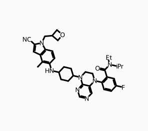 CCN(C(=O)c1cc(F)ccc1N1CCN(C2CCC(Nc3ccc4c(cc(C#N)n4CC4COC4)c3C)CC2)c2ncncc21)C(C)C